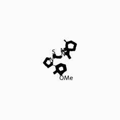 COc1cccc([C@@H]2CCCN2C(=S)Cn2nc3c(c2C)CCC[C@@H]3C)c1C